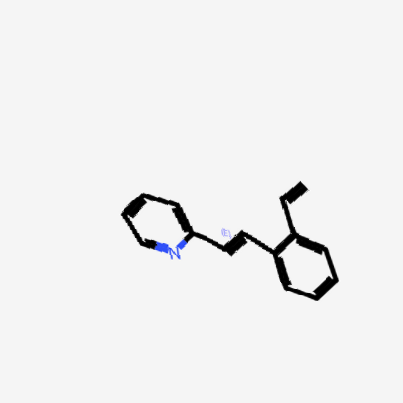 C=Cc1ccccc1/C=C/c1ccccn1